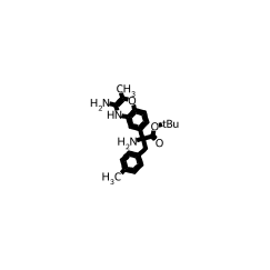 CC1=C(N)Nc2cc(C(N)(Cc3ccc(C)cc3)C(=O)OC(C)(C)C)ccc2O1